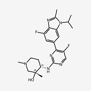 Cc1nc2c(F)cc(-c3nc(N[C@H]4CCN(C)C[C@@]4(C)O)ncc3F)cc2n1C(C)C